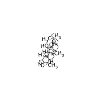 C[C@@H]1c2oncc2C[C@]2(C)C3=C[C@@H](O)[C@]45OC(=O)[C@@]6(CCC(C)(C)CC64)CC[C@@]5(C)[C@]3(C)CC[C@@H]12